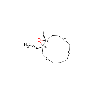 C=C[C@]12CCCCCCCCCC[C@H]1O2